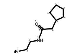 CC(C)CCNC(=O)CC1CCCC1